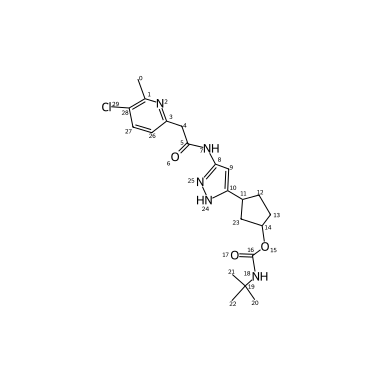 Cc1nc(CC(=O)Nc2cc(C3CCC(OC(=O)NC(C)(C)C)C3)[nH]n2)ccc1Cl